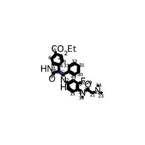 CCOC(=O)c1ccc2c(c1)NC(=O)/C2=C(\Nc1ccc(N(C)C(=O)CN(C)C)c(F)c1)c1ccccc1